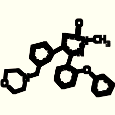 Cn1nc(-c2ccccc2Oc2ccccc2)c(-c2cccc(CN3CCOCC3)c2)cc1=O